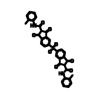 Cc1ccccc1NC(=O)C1C(=O)c2ccc(S(=O)(=O)c3ccc4c(c3)C(=O)C(C(=O)Nc3ccccc3C)C4=O)cc2C1=O